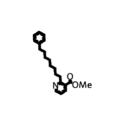 COC(=O)c1cccnc1CCCCCCCCc1ccccc1